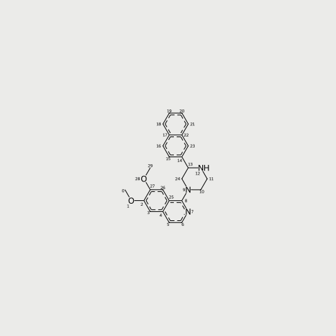 COc1cc2ccnc(N3CCNC(c4ccc5ccccc5c4)C3)c2cc1OC